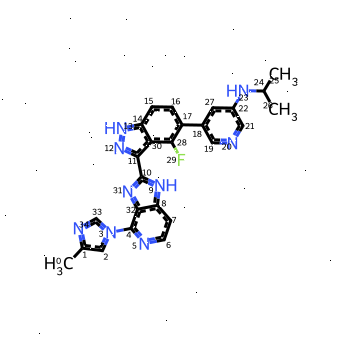 Cc1cn(-c2nccc3[nH]c(-c4n[nH]c5ccc(-c6cncc(NC(C)C)c6)c(F)c45)nc23)cn1